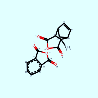 CC12C(=O)OC(=O)C1C1C=CC2C1.O=C1OC(=O)c2ccccc21